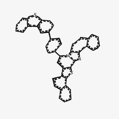 c1ccc2c(c1)ccc1c2nc2c3sc4c5ccccc5ccc4c3cc(-c3ccc(-c4ccc5sc6ccccc6c5c4)cc3)n12